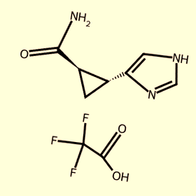 NC(=O)[C@@H]1C[C@H]1c1c[nH]cn1.O=C(O)C(F)(F)F